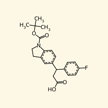 CC(C)(C)OC(=O)N1CCc2cc(C(CC(=O)O)c3ccc(F)cc3)ccc21